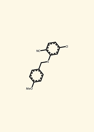 COc1ccc(CSc2cc(Cl)ccc2C#N)cc1